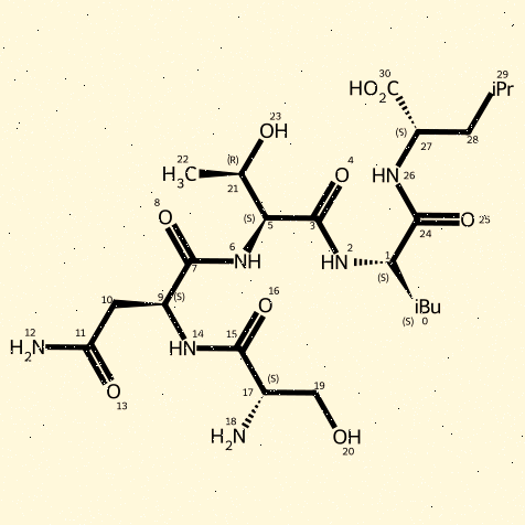 CC[C@H](C)[C@H](NC(=O)[C@@H](NC(=O)[C@H](CC(N)=O)NC(=O)[C@@H](N)CO)[C@@H](C)O)C(=O)N[C@@H](CC(C)C)C(=O)O